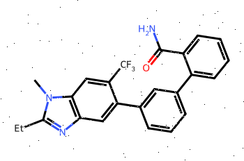 CCc1nc2cc(-c3cccc(-c4ccccc4C(N)=O)c3)c(C(F)(F)F)cc2n1C